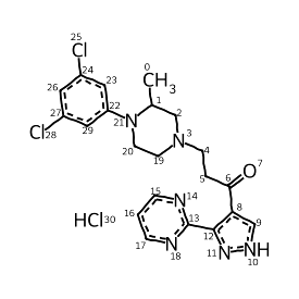 CC1CN(CCC(=O)c2c[nH]nc2-c2ncccn2)CCN1c1cc(Cl)cc(Cl)c1.Cl